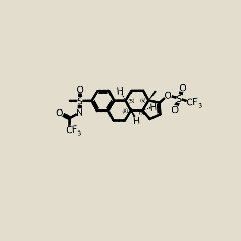 C[C@]12CC[C@@H]3c4ccc(S(C)(=O)=NC(=O)C(F)(F)F)cc4CC[C@H]3[C@@H]1CC=C2OS(=O)(=O)C(F)(F)F